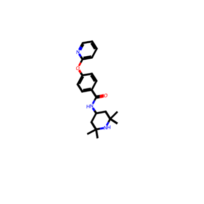 CC1(C)CC(NC(=O)c2ccc(Oc3ccccn3)cc2)CC(C)(C)N1